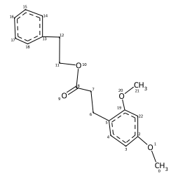 COc1ccc(CCC(=O)OCCc2ccccc2)c(OC)c1